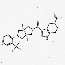 CC(=O)N1CCc2[nH]nc(C(=O)N3C[C@H]4C[C@H](c5ccccc5C(F)(F)F)C[C@H]4C3)c2C1